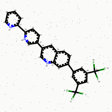 FC(F)(F)c1cc(-c2ccc3cc(-c4ccc(-c5ccccn5)nc4)cnc3c2)cc(C(F)(F)F)c1